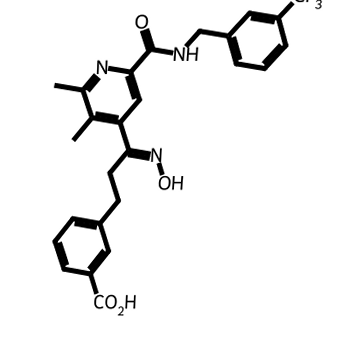 Cc1nc(C(=O)NCc2cccc(C(F)(F)F)c2)cc(C(CCc2cccc(C(=O)O)c2)=NO)c1C